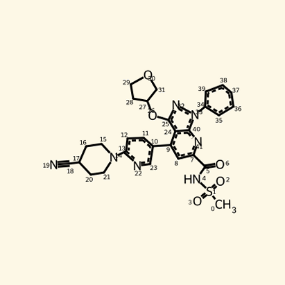 CS(=O)(=O)NC(=O)c1cc(-c2ccc(N3CCC(C#N)CC3)nc2)c2c(OC3CCOC3)nn(-c3ccccc3)c2n1